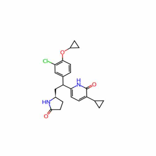 O=C1CC[C@H](CC(c2ccc(OC3CC3)c(Cl)c2)c2ccc(C3CC3)c(=O)[nH]2)N1